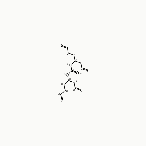 C=CCCC(CC=C)OC(=O)OC(CC=C)CCC=C